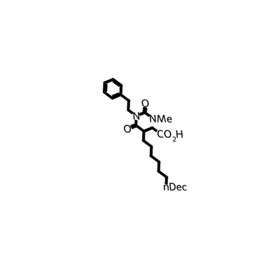 CCCCCCCCCCCCCCCCC(CC(=O)O)C(=O)N(CCc1ccccc1)C(=O)NC